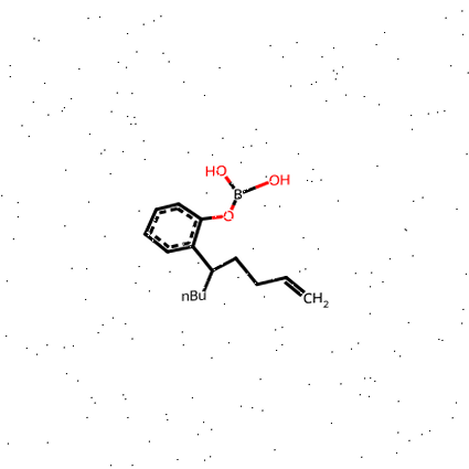 C=CCCC(CCCC)c1ccccc1OB(O)O